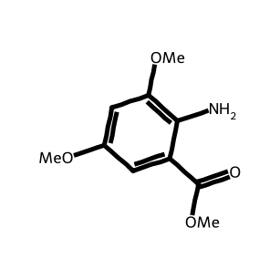 COC(=O)c1cc(OC)cc(OC)c1N